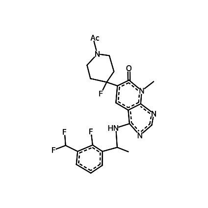 CC(=O)N1CCC(F)(c2cc3c(NC(C)c4cccc(C(F)F)c4F)ncnc3n(C)c2=O)CC1